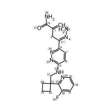 C=C(C/C(=N\N)c1ccc(NCC2(c3ncccc3F)CCC2)nn1)C(N)=O